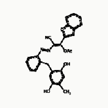 CC(=O)OC(=C(C#N)N=Nc1ccccc1Cc1cc(O)c(C)cc1O)c1cc2ccccc2o1